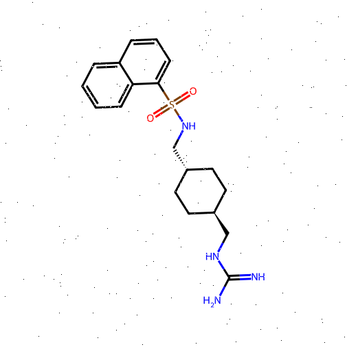 N=C(N)NC[C@H]1CC[C@H](CNS(=O)(=O)c2cccc3ccccc23)CC1